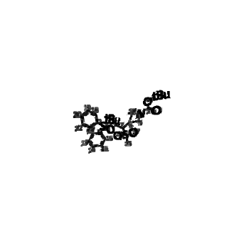 CC(C)(C)OC(=O)N1CC(C(CO[Si](c2ccccc2)(c2ccccc2)C(C)(C)C)S(C)(=O)=O)C1